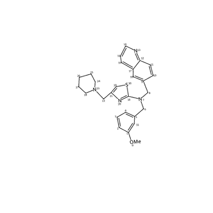 COc1cccc(CN(Cc2ccc3ncccc3c2)c2nc(CN3CCCCC3)cs2)c1